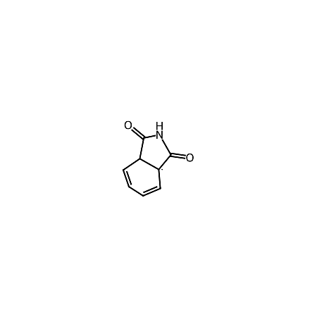 O=C1NC(=O)C2C=CC=C[C]12